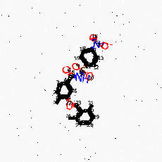 Cc1ccc(C(=O)NS(=O)(=O)c2ccc([N+](=O)[O-])cc2)cc1OCc1c(C)cccc1C